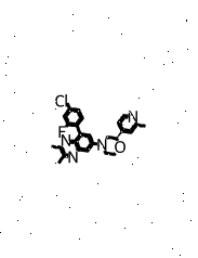 Cc1cc([C@@H]2CN(c3cc(-c4ccc(Cl)cc4F)c4nc(C)c(C)nc4c3)CCO2)ccn1